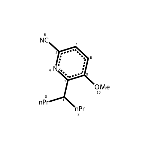 CCCC(CCC)c1nc(C#N)ccc1OC